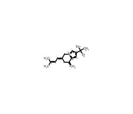 C=C1C/C(=C\C=C(C)C)Cn2cc(C(C)(CC)CC)cc21